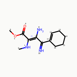 CN/C(C(=O)OC)=C(/N)C(=N)C1=CCCCC1